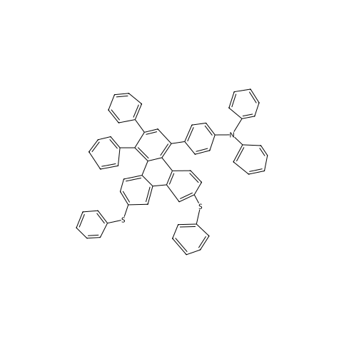 c1ccc(Sc2ccc3c(c2)c2cc(Sc4ccccc4)ccc2c2c(-c4ccccc4)c(-c4ccccc4)cc(-c4ccc(N(c5ccccc5)c5ccccc5)cc4)c32)cc1